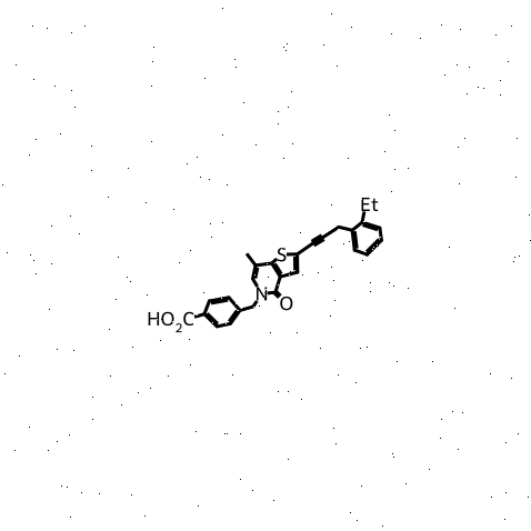 CCc1ccccc1CC#Cc1cc2c(=O)n(Cc3ccc(C(=O)O)cc3)cc(C)c2s1